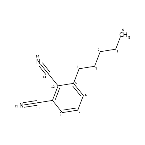 CCCCCc1cc[c]c(C#N)c1C#N